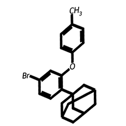 Cc1ccc(Oc2cc(Br)ccc2C23CC4CC(CC(C4)C2)C3)cc1